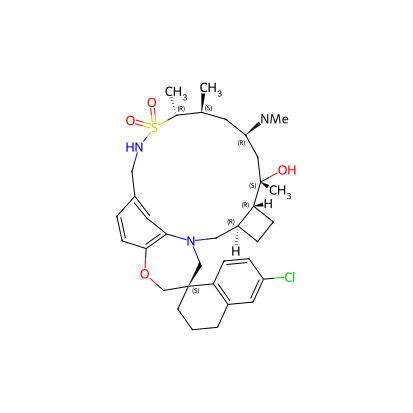 CN[C@@H]1C[C@H](C)[C@@H](C)S(=O)(=O)NCc2ccc3c(c2)N(C[C@@H]2CC[C@H]2[C@@](C)(O)C1)C[C@@]1(CCCc2cc(Cl)ccc21)CO3